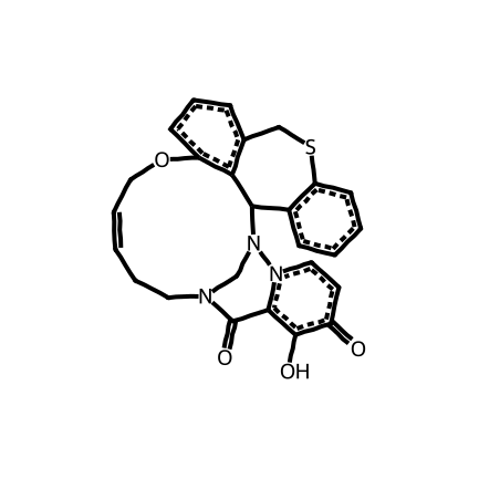 O=C1c2c(O)c(=O)ccn2N2CN1CC/C=C\COc1cccc3c1C2c1ccccc1SC3